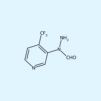 NN(C=O)c1cnccc1C(F)(F)F